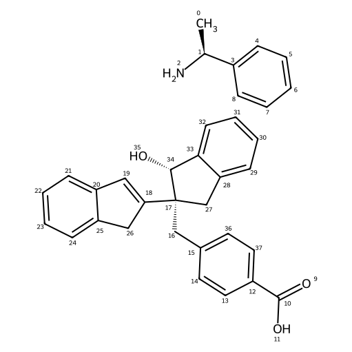 C[C@H](N)c1ccccc1.O=C(O)c1ccc(C[C@@]2(C3=Cc4ccccc4C3)Cc3ccccc3[C@H]2O)cc1